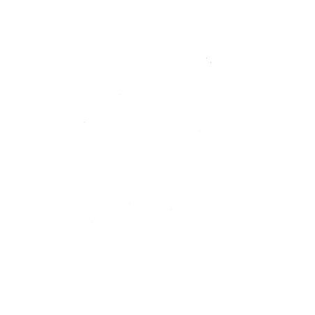 Cc1cc(C(=O)/C=C/c2ccccc2C(F)(F)F)cc(C)c1OCCN1CCCC1.O=C(O)/C=C/C(=O)O